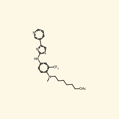 CC(=O)OCCCCCCN(C)c1ccc(Nc2nc(-c3cccnc3)cs2)cc1C(F)(F)F